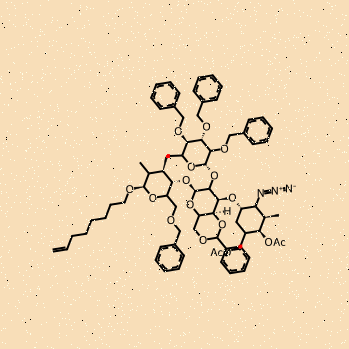 C=CCCCCCCO[C@@H]1OC(COCc2ccccc2)[C@@H](O[C@@H]2OC3COC(c4ccccc4)O[C@@H]3[C@H](O[C@H]3CC(COC(C)=O)[C@H](OC(C)=O)[C@H](C)C3N=[N+]=[N-])C2O[C@@H]2OC(C)[C@@H](OCc3ccccc3)[C@H](OCc3ccccc3)C2OCc2ccccc2)[C@H](C)C1C